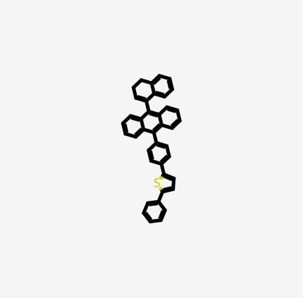 C1=C(c2c3ccccc3c(-c3ccc(-c4ccc(-c5ccccc5)s4)cc3)c3ccccc23)c2ccccc2CC1